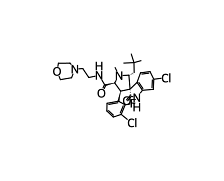 CN1[C@H](C(=O)NCCN2CCOCC2)[C@H](c2cccc(Cl)c2F)[C@@]2(C(=O)Nc3cc(Cl)ccc32)[C@H]1CC(C)(C)C